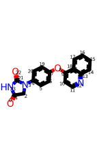 O=C1CN(c2ccc(Oc3ccnc4ccccc34)cc2)C(=O)N1